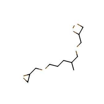 CC(CCCSCC1CS1)CSCC1CSS1